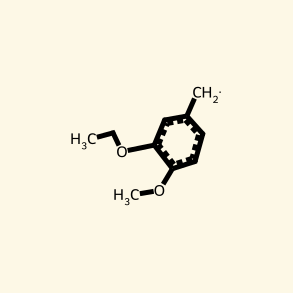 [CH2]c1ccc(OC)c(OCC)c1